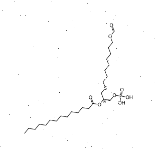 CCCCCCCCCCCCCC(=O)O[C@H](COP(=O)(O)O)CSCCCCCCCCOC=O